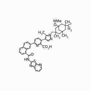 CNOC12CC(C)(C)CC(C)(CC(C)(Cn3ncc(-c4ccc(-c5ccc6cccc(C(=O)Nc7nc8cccnc8s7)c6c5)nc4C(=O)O)c3C)C1)C2